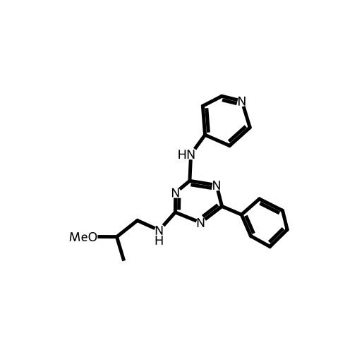 COC(C)CNc1nc(Nc2ccncc2)nc(-c2ccccc2)n1